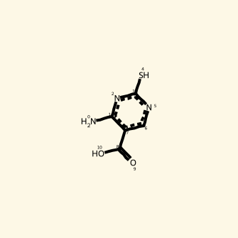 Nc1nc(S)ncc1C(=O)O